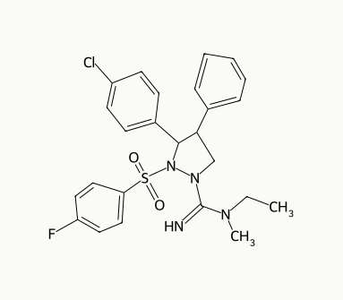 CCN(C)C(=N)N1CC(c2ccccc2)C(c2ccc(Cl)cc2)N1S(=O)(=O)c1ccc(F)cc1